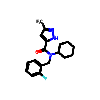 O=C(c1cc(C(F)(F)F)n[nH]1)N(Cc1ccccc1F)C1CCCCC1